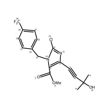 COC(=O)c1c(C#CC(C)(C)O)nc(Cl)n1Cc1ccc(C(F)(F)F)cc1